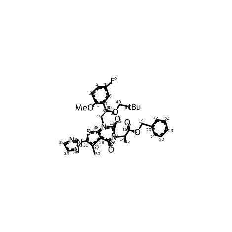 COc1ccc(F)cc1[C@H](Cn1c(=O)n(C(C)C(=O)OCc2ccccc2)c(=O)c2c(C)c(-n3nccn3)sc21)OCC(C)(C)C